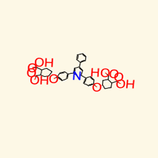 O=C(O)C1CCC(Oc2ccc(-c3cc(-c4ccccc4)cc(-c4ccc(OC5CCC(C(=O)O)C(C(=O)O)C5)cc4)n3)cc2)CC1C(=O)O